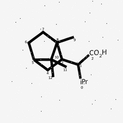 CC(C)C(C(=O)O)C1CC2CCC1(C)C2(C)C